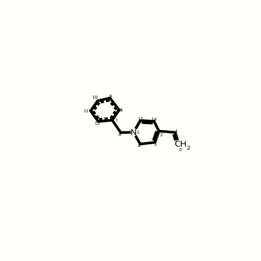 C=CC1=CCN(Cc2ccccc2)C=C1